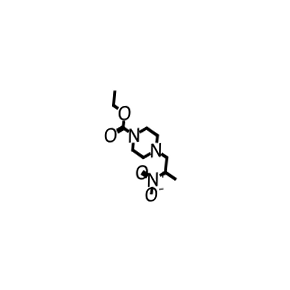 CCOC(=O)N1CCN(CC(C)[N+](=O)[O-])CC1